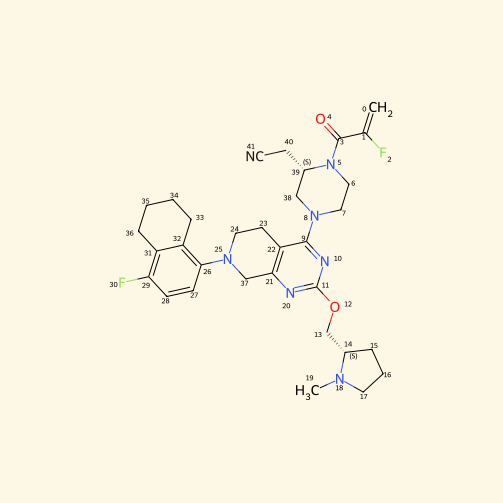 C=C(F)C(=O)N1CCN(c2nc(OC[C@@H]3CCCN3C)nc3c2CCN(c2ccc(F)c4c2CCCC4)C3)C[C@@H]1CC#N